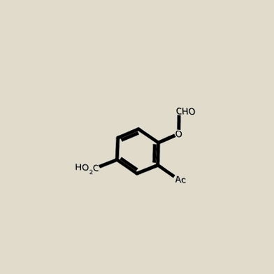 CC(=O)c1cc(C(=O)O)ccc1OC=O